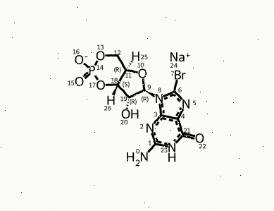 Nc1nc2c(nc(Br)n2[C@@H]2O[C@@H]3COP(=O)([O-])O[C@H]3[C@H]2O)c(=O)[nH]1.[Na+]